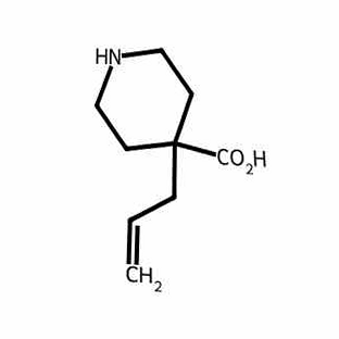 C=CCC1(C(=O)O)CCNCC1